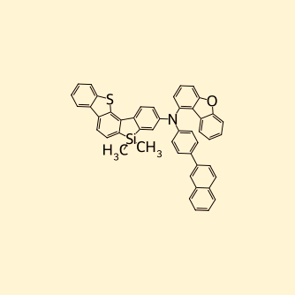 C[Si]1(C)c2cc(N(c3ccc(-c4ccc5ccccc5c4)cc3)c3cccc4oc5ccccc5c34)ccc2-c2c1ccc1c2sc2ccccc21